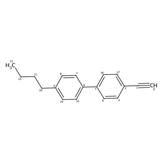 C#Cc1ccc(-c2ccc(CCCC)cc2)cc1